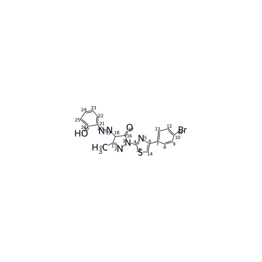 CC1=NN(c2nc(-c3ccc(Br)cc3)cs2)C(=O)C1/N=N/c1ccccc1O